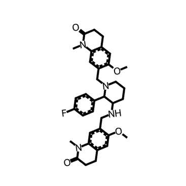 COc1cc2c(cc1CNC1CCCN(Cc3cc4c(cc3OC)CCC(=O)N4C)C1c1ccc(F)cc1)N(C)C(=O)CC2